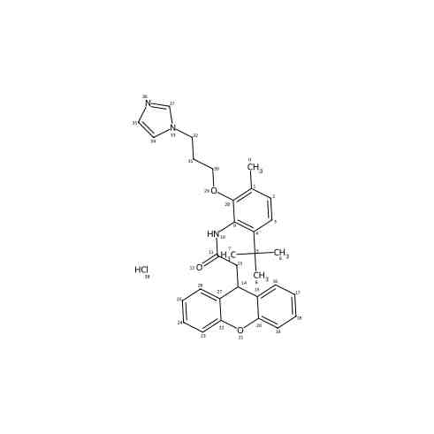 Cc1ccc(C(C)(C)C)c(NC(=O)CC2c3ccccc3Oc3ccccc32)c1OCCCn1ccnc1.Cl